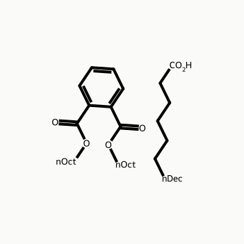 CCCCCCCCCCCCCCCC(=O)O.CCCCCCCCOC(=O)c1ccccc1C(=O)OCCCCCCCC